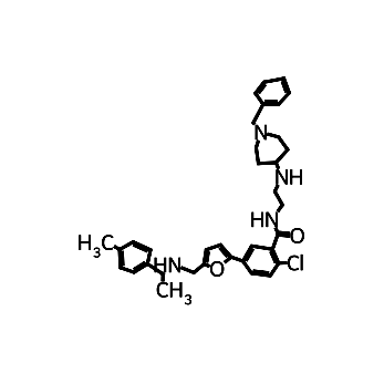 Cc1ccc(C(C)NCc2ccc(-c3ccc(Cl)c(C(=O)NCCNC4CCN(Cc5ccccc5)CC4)c3)o2)cc1